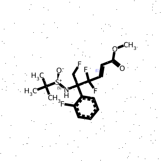 COC(=O)/C=C/C(F)(F)C(CF)(N[S@+]([O-])C(C)(C)C)c1ccccc1F